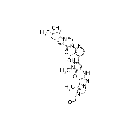 C[C@@H]1c2cc(Nc3cc(-c4ccnc(-n5ccn6c7c(cc6c5=O)CC(C)(C)C7)c4CO)cn(C)c3=O)nn2CCN1C1COC1